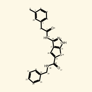 Cc1cccc(CC(=O)Nc2n[nH]c3sc(C(=O)NCc4ccccc4)cc23)c1